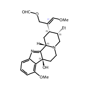 CC[C@@H]1CN2CC[C@@]3(O)C(=Nc4cccc(OC)c43)[C@@H]2C[C@@H]1/C(=C\OC)COC=O